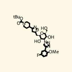 COc1ccc(F)cc1-c1cn([C@H]2[C@@H](O)[C@@H](CO)O[C@H](CC3CC(C4CCN(C(=O)OC(C)(C)C)CC4)=NO3)[C@@H]2O)nn1